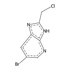 ClCc1nc2cc(Br)cnc2[nH]1